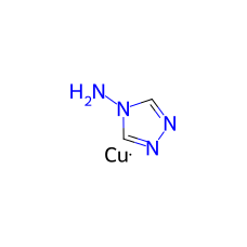 Nn1cnnc1.[Cu]